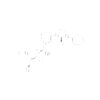 N#C/C(N)=C(Cl)/N=C(\N)N1CCCC(N2CCN(C3CCCCC3)C2=O)C1